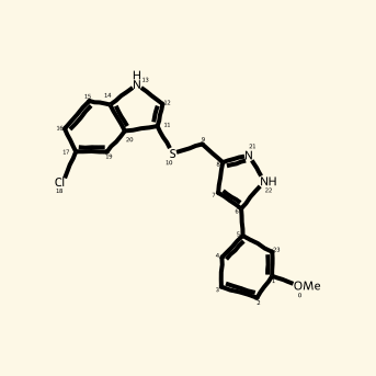 COc1cccc(-c2cc(CSc3c[nH]c4ccc(Cl)cc34)n[nH]2)c1